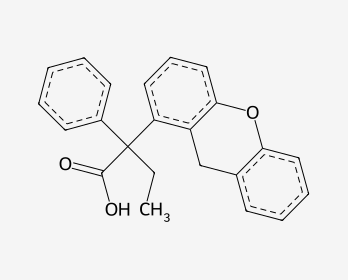 CCC(C(=O)O)(c1ccccc1)c1cccc2c1Cc1ccccc1O2